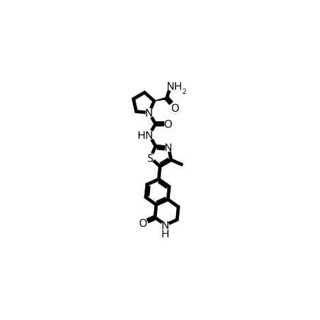 Cc1nc(NC(=O)N2CCC[C@H]2C(N)=O)sc1-c1ccc2c(c1)CCNC2=O